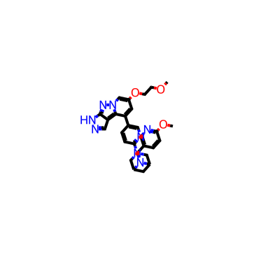 COCCOc1cc(-c2ccc(N3CC4CC(C3)N4Cc3ccc(OC)nc3)nc2)c2c3cn[nH]c3nn2c1